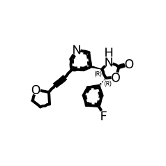 O=C1N[C@H](c2cncc(C#CC3CCCO3)c2)[C@@H](c2cccc(F)c2)O1